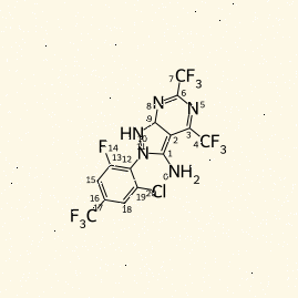 NC1=C2C(C(F)(F)F)=NC(C(F)(F)F)=NC2NN1c1c(F)cc(C(F)(F)F)cc1Cl